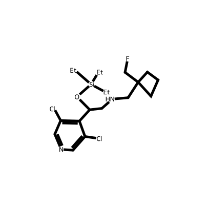 CC[Si](CC)(CC)OC(CNCC1(CF)CCC1)c1c(Cl)cncc1Cl